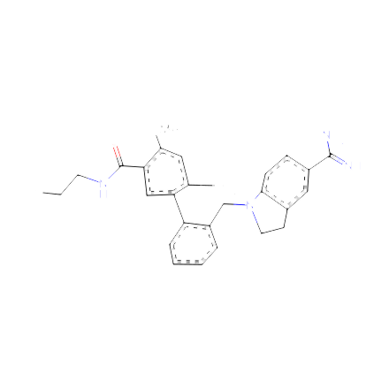 COc1cc(C(=O)O)c(-c2ccccc2CN2CCc3cc(C(=N)N)ccc32)cc1C(=O)NCCC(C)C